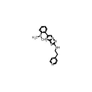 CN(C)c1ccccc1-c1cn2nc(NCCc3ccncc3)sc2n1